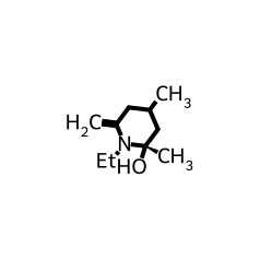 C=C1CC(C)C[C@](C)(O)N1CC